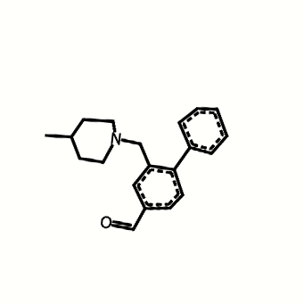 CC1CCN(Cc2cc(C=O)ccc2-c2ccccc2)CC1